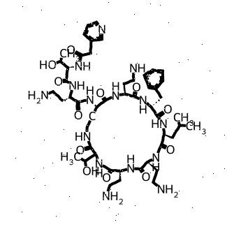 CC(C)C[C@@H]1NC(=O)[C@@H](Cc2ccccc2)NC(=O)[C@H](CCN)NC(=O)[C@@H](NC(=O)[C@H](CCN)NC(=O)[C@@H](NC(=O)Cc2cccnc2)C(C)O)CCNC(=O)C(C(C)O)NC(=O)[C@H](CCN)NC(=O)[C@H](CCN)NC1=O